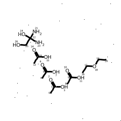 CC(=O)O.CC(=O)O.CC(=O)O.CC(=O)O.CCOCC.NC(N)(O)CO